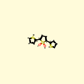 O=S1(=O)C(c2cccs2)=CC=C1c1cccs1